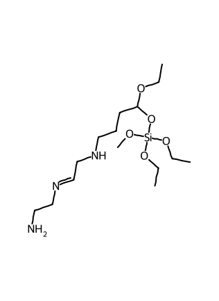 CCOC(CCCNCC=NCCN)O[Si](OC)(OCC)OCC